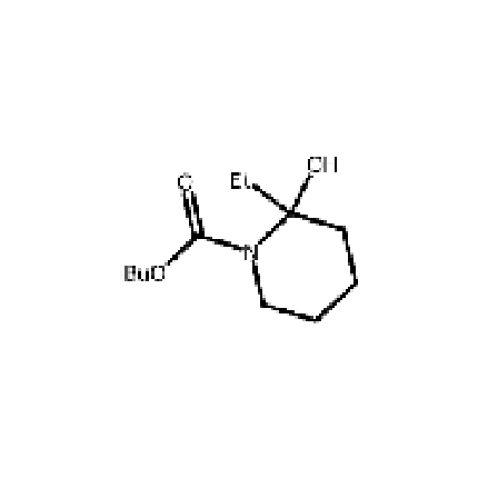 CCC1(O)CCCCN1C(=O)OCC(C)C